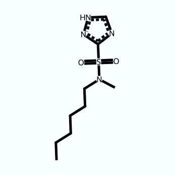 CCCCCCN(C)S(=O)(=O)c1nc[nH]n1